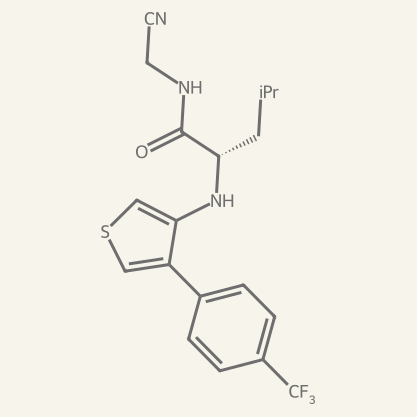 CC(C)C[C@H](Nc1cscc1-c1ccc(C(F)(F)F)cc1)C(=O)NCC#N